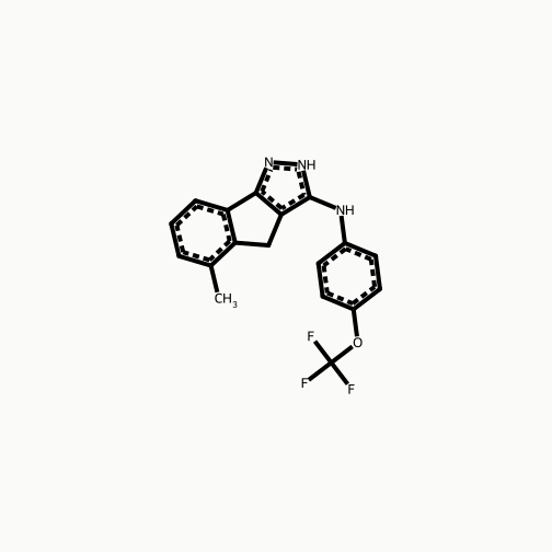 Cc1cccc2c1Cc1c-2n[nH]c1Nc1ccc(OC(F)(F)F)cc1